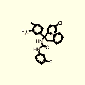 Cc1ccc(C(Cc2ccccc2)(NC(=O)Nc2cccc(F)c2)c2ccc(Cl)cn2)cc1C(F)(F)F